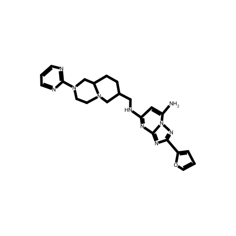 Nc1cc(NCC2CCC3CN(c4ncccn4)CCN3C2)nc2nc(-c3ccco3)nn12